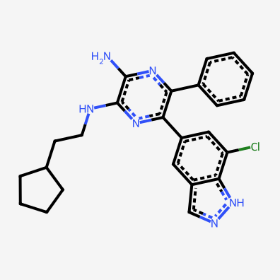 Nc1nc(-c2ccccc2)c(-c2cc(Cl)c3[nH]ncc3c2)nc1NCCC1CCCC1